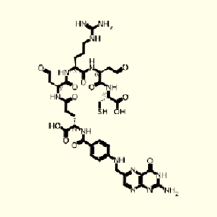 N=C(N)NCCC[C@H](NC(=O)[C@H](CC=O)NC(=O)CC[C@H](NC(=O)c1ccc(NCc2cnc3nc(N)[nH]c(=O)c3n2)cc1)C(=O)O)C(=O)N[C@@H](CC=O)C(=O)N[C@@H](CS)C(=O)O